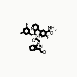 Cc1cc(F)cc(C[C@H](NC(=O)Cn2nc(C=O)c3c2C2CCC3C2)c2ncccc2-c2ccc(F)c(C(N)=O)c2)c1